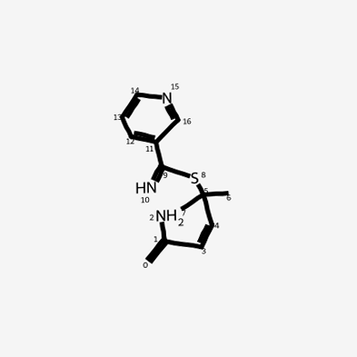 C=C(N)/C=C\C(C)(C)SC(=N)c1cccnc1